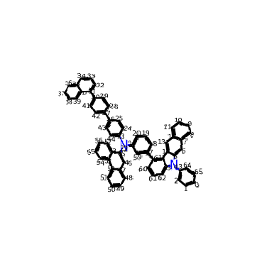 c1ccc(-n2c3cc4ccccc4cc3c3c(-c4cccc(N(c5ccc(-c6ccc(-c7cccc8ccccc78)cc6)cc5)c5cc6ccccc6c6ccccc56)c4)cccc32)cc1